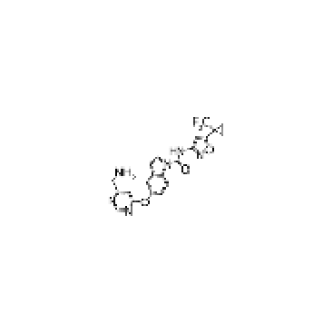 NCc1cc(Oc2ccc3c(ccn3C(=O)Nc3cc(C4(C(F)(F)F)CC4)on3)c2)ncn1